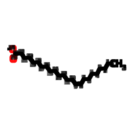 CCCCCCCC/C=C\CCCCCCCCCCCCCC([O])=O